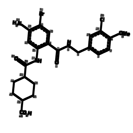 COc1ccc(CNC(=O)c2cc(Br)c(N)cc2NC(=O)C2CCC(C(=O)O)CC2)cc1Cl